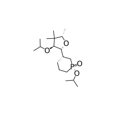 CC(C)O[C@@H]1[C@@H]([C@H]2CCC[P@@](=O)(OC(C)C)C2)O[C@@H](C)C1(C)C